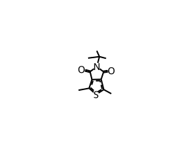 Cc1sc(C)c2c1C(=O)N(C(C)(C)C)C2=O